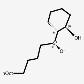 CCCCCCCCCCCC[S@+]([O-])[C@@H]1CCCC[C@H]1O